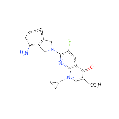 Nc1cccc2c1CN(c1nc3c(cc1F)c(=O)c(C(=O)O)cn3C1CC1)C2